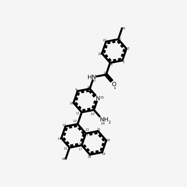 Cc1ccc(C(=O)Nc2ccc(-c3ccc(C)c4ccccc34)c(N)n2)cc1